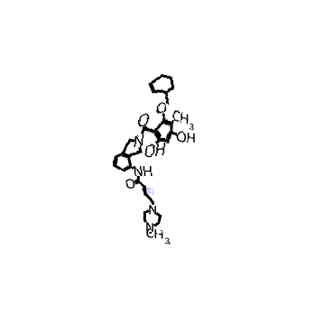 Cc1c(O)cc(O)c(C(=O)N2Cc3cccc(NC(=O)/C=C/CN4CCN(C)CC4)c3C2)c1OCC1CCCCC1